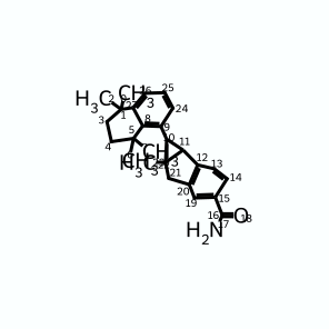 CC1(C)CCC(C)(C)c2c(C3C4c5ccc(C(N)=O)cc5CC43C)cccc21